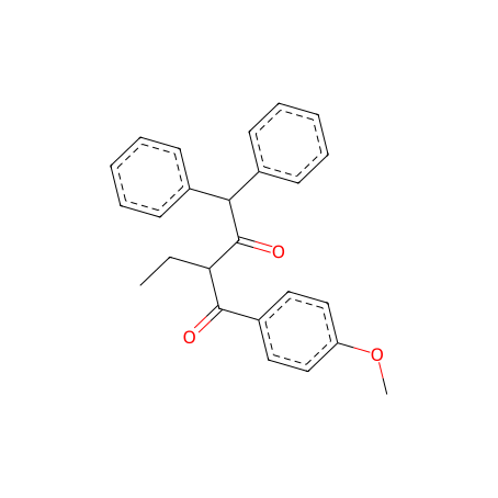 CCC(C(=O)c1ccc(OC)cc1)C(=O)C(c1ccccc1)c1ccccc1